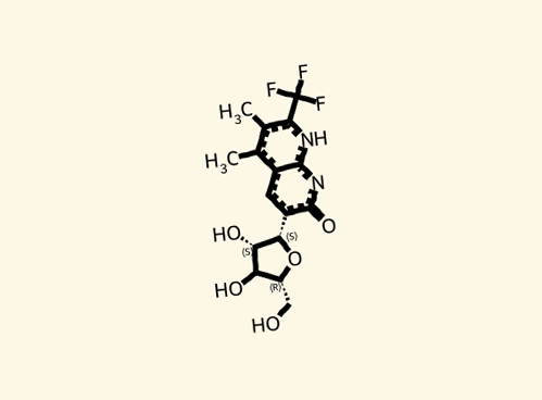 Cc1c2cc([C@@H]3O[C@H](CO)C(O)[C@@H]3O)c(=O)nc-2[nH]c(C(F)(F)F)c1C